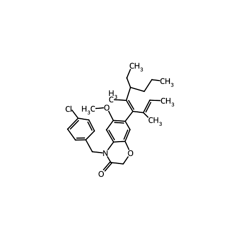 C/C=C(C)/C(=C(/C)C(CC)CCC)c1cc2c(cc1OC)N(Cc1ccc(Cl)cc1)C(=O)CO2